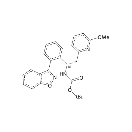 COc1cccc(C[C@H](NC(=O)OC(C)(C)C)c2ccccc2-c2noc3ccccc23)n1